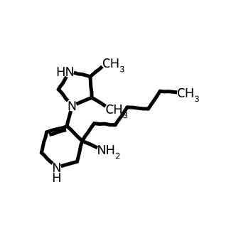 CCCCCCC1(N)CNCC=C1N1CNC(C)C1C